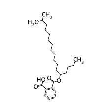 CCCCC(CCCCCCCCCCC(C)C)OC(=O)c1ccccc1C(=O)O